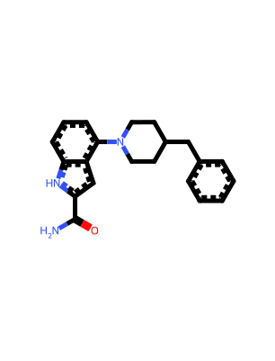 NC(=O)c1cc2c(N3CCC(Cc4ccccc4)CC3)cccc2[nH]1